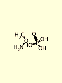 CON.O=P(O)(O)O